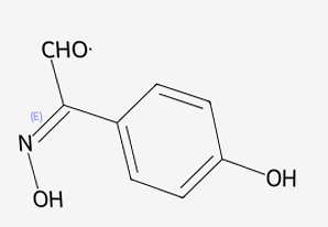 O=[C]/C(=N/O)c1ccc(O)cc1